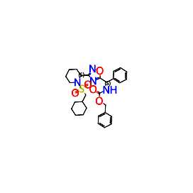 O=C(N[C@@H](c1ccccc1)c1nc([C@@H]2CCCCN2S(=O)(=O)CC2CCCCC2)no1)OCc1ccccc1